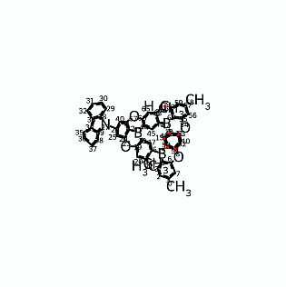 Cc1cc(C)c2c(c1)Oc1ccccc1B2c1cc2c(cc1C)Oc1cc(-n3c4ccccc4c4ccccc43)cc3c1B2c1cc(B2c4ccccc4Oc4cc(C)cc(C)c42)c(C)cc1O3